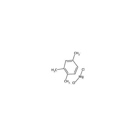 [CH2]c1ccc(C)c(C)c1.[Cl][Mg][Cl]